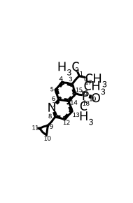 CC(C)c1ccc2nc(C3CC3)ccc2c1P(C)(C)=O